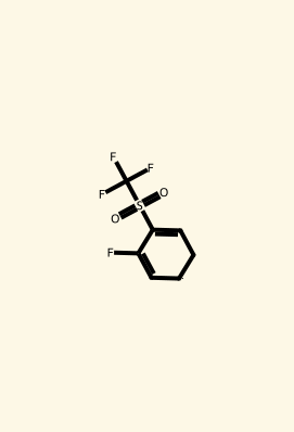 O=S(=O)(C1=CC[CH]C=C1F)C(F)(F)F